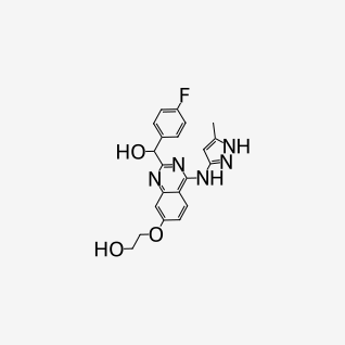 Cc1cc(Nc2nc(C(O)c3ccc(F)cc3)nc3cc(OCCO)ccc23)n[nH]1